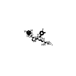 Cc1cc(C(=O)N[C@@H](CCCNC(=N)N[N+](=O)[O-])C(=O)N[C@@H](CC(C)C)B2O[C@@H]3C[C@@H]4C[C@@H](C4(C)C)[C@]3(C)O2)ccc1F